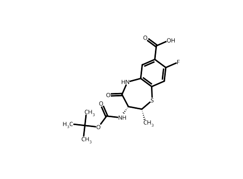 C[C@H]1Sc2cc(F)c(C(=O)O)cc2NC(=O)[C@H]1NC(=O)OC(C)(C)C